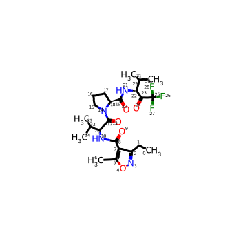 CCc1noc(C)c1C(=O)N[C@H](C(=O)N1CCC[C@H]1C(=O)N[C@H](C(=O)C(F)(F)F)C(C)C)C(C)C